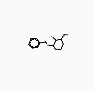 COC1CCCC(OCc2ccccc2)C1O